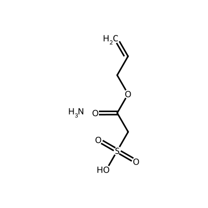 C=CCOC(=O)CS(=O)(=O)O.N